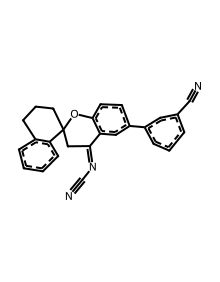 N#C/N=C1\CC2(CCCc3ccccc32)Oc2ccc(-c3cccc(C#N)c3)cc21